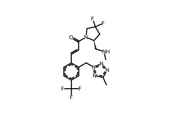 CNC[C@@H]1CC(F)(F)CN1C(=O)/C=C/c1ccc(C(F)(F)F)cc1Cn1nnc(C)n1